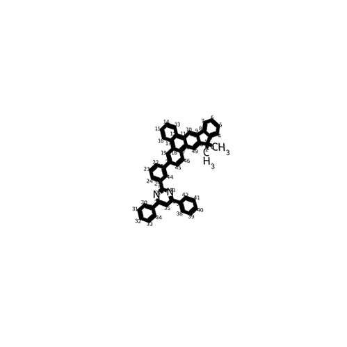 CC1(C)c2ccccc2-c2cc3c4ccccc4c4cc(-c5cccc(-c6nc(-c7ccccc7)cc(-c7ccccc7)n6)c5)ccc4c3cc21